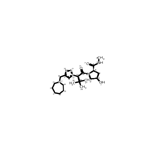 CNC(=O)[C@H]1CC(O)CN1C(=O)C(n1cc(CN2CCCCCC2)nn1)C(C)(C)C